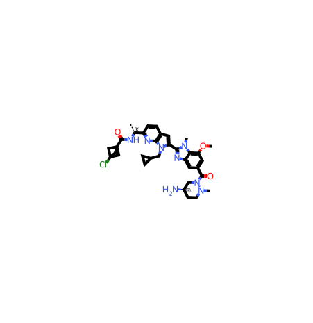 COc1cc(C(=O)N2C[C@H](N)CCN2C)cc2nc(-c3cc4ccc([C@@H](C)NC(=O)C56CC(Cl)(C5)C6)nc4n3CC3CC3)n(C)c12